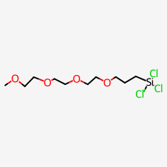 COCCOCCOCCOCCC[Si](Cl)(Cl)Cl